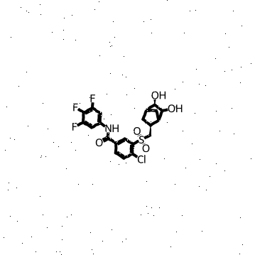 O=C(Nc1cc(F)c(F)c(F)c1)c1ccc(Cl)c(S(=O)(=O)C[C@H]2CC3CC2C(O)[C@@H]3O)c1